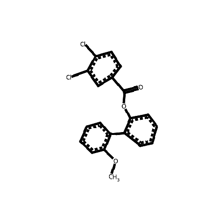 COc1ccccc1-c1ccccc1OC(=O)c1ccc(Cl)c(Cl)c1